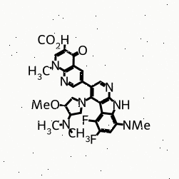 CNc1cc(F)c(F)c2c1[nH]c1ncc(-c3cnc4c(c3)c(=O)c(C(=O)O)cn4C)c(N3CC(N(C)C)[C@@H](OC)C3)c12